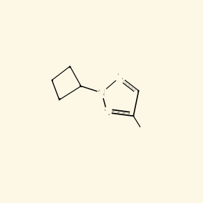 [CH2]Cc1cnn(C2CCC2)n1